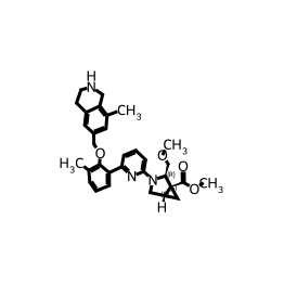 COC[C@@H]1N(c2cccc(-c3cccc(C)c3OCc3cc(C)c4c(c3)CCNC4)n2)C[C@H]2C[C@]21C(=O)OC